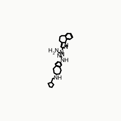 Nc1nc(Nc2ccc3c(c2)CC[C@@H](NCC2CCCC2)CC3)nn1-c1cc2c(nn1)-c1ccccc1CCC2